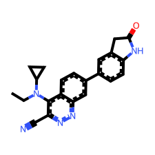 CCN(c1c(C#N)nnc2cc(-c3ccc4c(c3)CC(=O)N4)ccc12)C1CC1